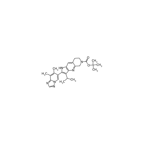 Cc1c(-c2[nH]c3cc4c(nc3c2C(C)C)CN(C(=O)OC(C)(C)C)CC4)cn2ncnc2c1C